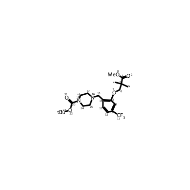 COC(=O)C(C)(C)COc1cc(C(F)(F)F)ccc1CN1CCN(C(=O)OC(C)(C)C)CC1